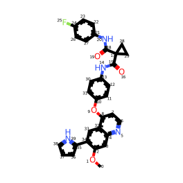 COc1cc2nccc(Oc3ccc(NC(=O)C4(C(=O)Nc5ccc(F)cc5)CC4)cc3)c2cc1-c1ccc[nH]1